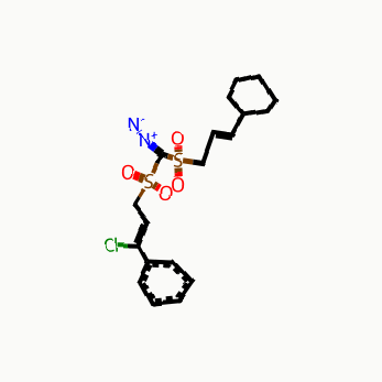 [N-]=[N+]=C(S(=O)(=O)CC=CC1CCCCC1)S(=O)(=O)CC=C(Cl)c1ccccc1